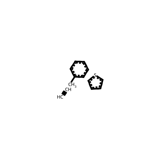 C#C.Cc1ccccc1.c1ccsc1